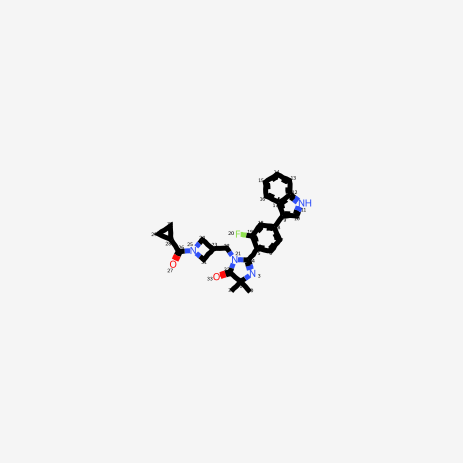 CC1(C)N=C(c2ccc(-c3c[nH]c4ccccc34)cc2F)N(CC2CN(C(=O)C3CC3)C2)C1=O